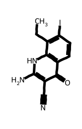 CCc1c(I)ccc2c(=O)c(C#N)c(N)[nH]c12